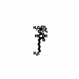 CCCCCC/C=C(/NC(=O)OC(C)(C)C)C(=O)O